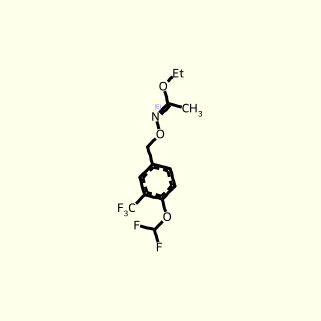 CCO/C(C)=N/OCc1ccc(OC(F)F)c(C(F)(F)F)c1